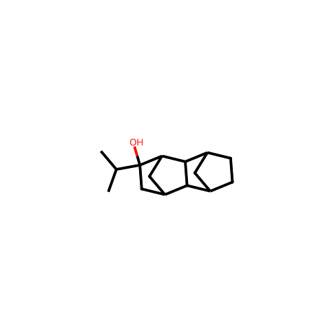 CC(C)C1(O)CC2CC1C1C3CCC(C3)C21